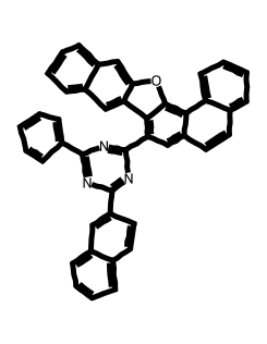 c1ccc(-c2nc(-c3ccc4ccccc4c3)nc(-c3cc4ccc5ccccc5c4c4oc5cc6ccccc6cc5c34)n2)cc1